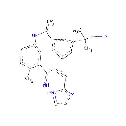 C=C(Nc1ccc(C)c(C(=N)/C=C\c2ncc[nH]2)c1)c1cccc(C(C)(C)C#N)c1